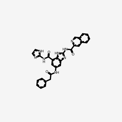 O=C(Cc1ccccc1)Nc1cc(C(=O)Nc2ncc[nH]2)c2[nH]c(NC(=O)c3cc4ccccc4cn3)nc2c1